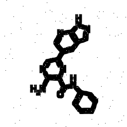 Nc1ncc(-c2cnc3[nH]ncc3c2)nc1C(=O)Nc1ccccc1